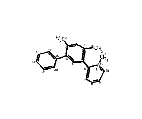 Cc1cc(C)c(-c2cccc[n+]2C)cc1-c1ccccc1